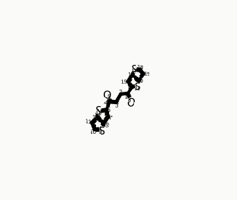 O=C(CCC(=O)c1cc2sccc2s1)c1cc2sccc2s1